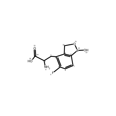 NC(Cc1c(F)ccc2c1COB2O)C(=O)O